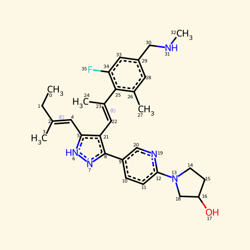 CC/C(C)=C/c1[nH]nc(-c2ccc(N3CCC(O)C3)nc2)c1/C=C(\C)c1c(C)cc(CNC)cc1F